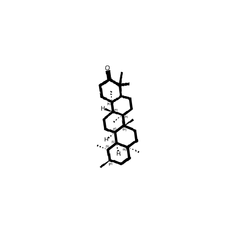 C[C@@H]1[C@H]2[C@H]3CC[C@@H]4[C@@]5(C)CCC(=O)C(C)(C)C5CC[C@@]4(C)[C@]3(C)CC[C@@]2(C)CC[C@H]1C